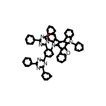 c1ccc(-c2nc(-c3ccccc3)nc(-c3ccc(-n4c5ccccc5c5c6c7ccccc7n(-c7ccccc7)c6c6oc7ccccc7c6c54)c(-c4nc(-c5ccccc5)nc(-c5ccccc5)n4)c3)n2)cc1